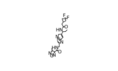 CCC(NC(=O)CC1CC(F)(F)C1)c1cnn2cc(CNC(=O)c3nonc3C)nc2c1